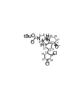 CC(C)(C)OC(=O)N1CC[C@H]2[C@@H](C1)c1cc(-c3ccc(Cl)cc3Cl)cc3c1N2CCC[S+]3[O-]